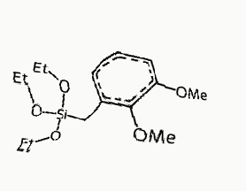 CCO[Si](Cc1cccc(OC)c1OC)(OCC)OCC